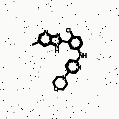 Cc1cnc2nc(-c3cc(Nc4ccc(N5CCOCC5)cn4)ccc3Cl)[nH]c2c1